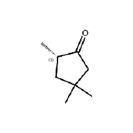 C[C@H]1CC(C)(C)CC1=O